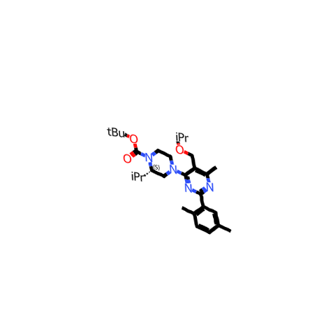 Cc1ccc(C)c(-c2nc(C)c(COC(C)C)c(N3CCN(C(=O)OC(C)(C)C)[C@@H](C(C)C)C3)n2)c1